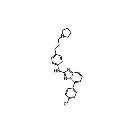 Clc1ccc(-c2cccc3nc(Nc4ccc(CCCN5CCCC5)cc4)nn23)cc1